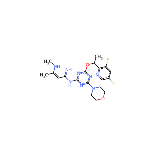 CN/C(C)=C\C(=N)Nc1nc(OC(C)c2ncc(F)cc2F)nc(N2CCOCC2)n1